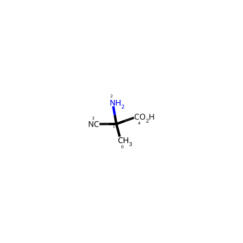 CC(N)(C#N)C(=O)O